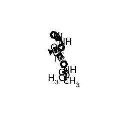 CC(C)OC(=O)N[C@H]1CC[C@H](c2ncc(-c3ccc(Nc4cc5n(n4)CCC=C5)cc3S(=O)(=O)C3CC3)s2)CC1